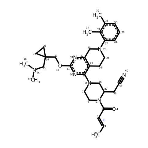 C/C=C/C(=O)N1CCN(c2nc(OCC3(CN(C)C)CC3)nc3c2CCN(c2cccc(C)c2C)C3)CC1CC#N